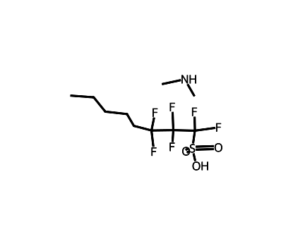 CCCCCC(F)(F)C(F)(F)C(F)(F)S(=O)(=O)O.CNC